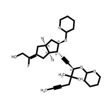 CC#CCC(C)(C)[C@@H](C#C[C@@H]1[C@H]2CC(=C(F)CO)C[C@H]2C[C@H]1OC1CCCCO1)OC1CCCCO1